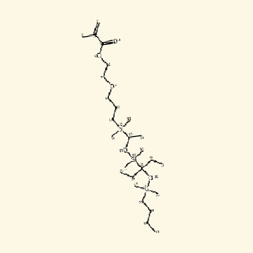 C=C(C)C(=O)OCCOCCC[Si](C)(C)C(C)O[Si](C)(C)C(CC)(CC)O[Si](C)(C)CCCC